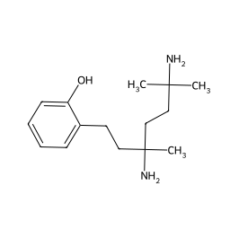 CC(C)(N)CCC(C)(N)CCc1ccccc1O